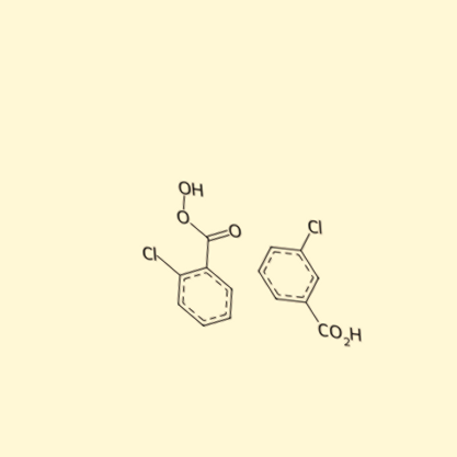 O=C(O)c1cccc(Cl)c1.O=C(OO)c1ccccc1Cl